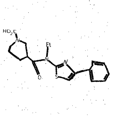 CCN(C(=O)C1CCN(C(=O)O)C1)c1nc(-c2ccccc2)cs1